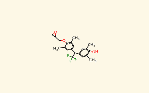 Cc1cc(C(c2cc(C)c(OCC3CO3)c(C)c2)C(F)(F)F)cc(C)c1O